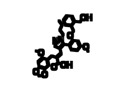 CCCCn1ncc(/C=C(\Cc2cc3c(cc2OC)OCO3)C(=O)O)c1-c1ccc(OC)cc1OCc1ccccc1CO